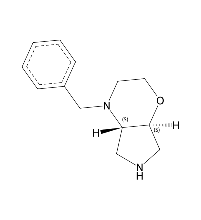 c1ccc(CN2CCO[C@H]3CNC[C@@H]32)cc1